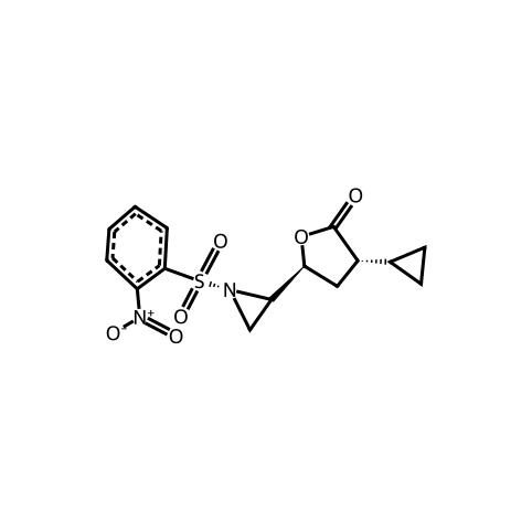 O=C1O[C@H](C2C[N@]2S(=O)(=O)c2ccccc2[N+](=O)[O-])C[C@H]1C1CC1